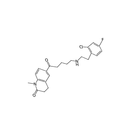 CN1C(=O)CCc2cc(C(=O)CCCCNCCc3ccc(F)cc3Cl)ccc21